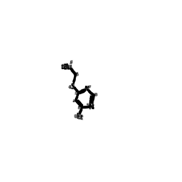 CCc1cc(SCC(C)(C)C)ncn1